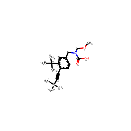 COCN(Cc1ccc(C#C[Si](C)(C)C)c(C(C)(C)C)c1)C(=O)O